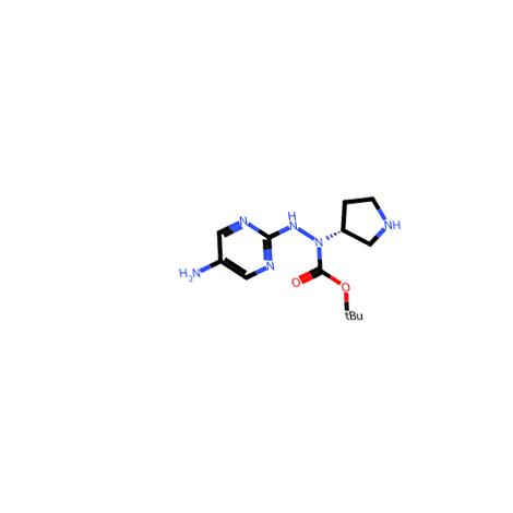 CC(C)(C)OC(=O)N(Nc1ncc(N)cn1)[C@@H]1CCNC1